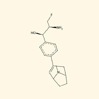 CN1C2C=C(c3ccc([C@@H](O)[C@H](N)CF)cc3)CC1CC2